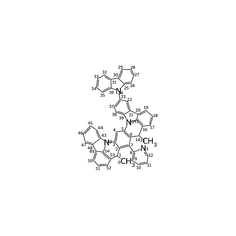 CC1c2c(cc3c(c2-c2ccccn2)C(C)c2cccc4c5cc(-n6c7ccccc7c7ccccc76)ccc5n-3c24)-n2c3ccccc3c3cccc1c32